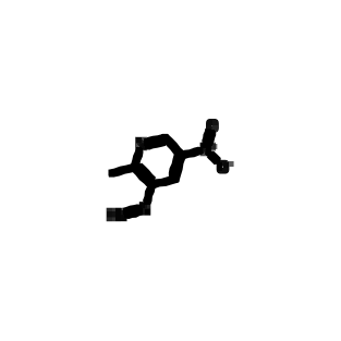 Cc1ncc([N+](=O)[O-])cc1N=N